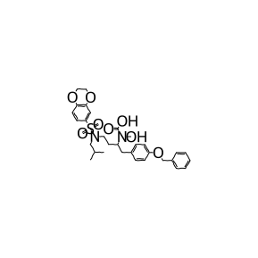 CC(C)CN(CCC(Cc1ccc(OCc2ccccc2)cc1)N(O)C(=O)O)S(=O)(=O)c1ccc2c(c1)OCCO2